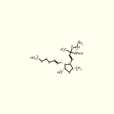 CCCCCC(C)(/C=C/[C@@H]1[C@@H](CC=CCCCC(=O)O)[C@@H](O)C[C@H]1C)OPP